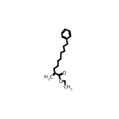 C=C(CCCCCCCCc1ccccc1)C(=O)OCC